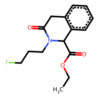 CCOC(=O)C1c2ccccc2CC(=O)N1CCCF